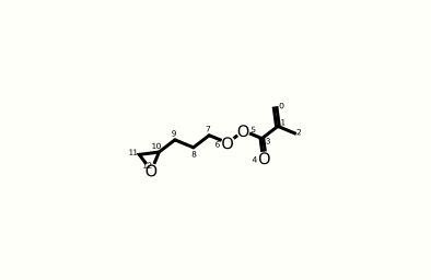 C=C(C)C(=O)OOCCCC1CO1